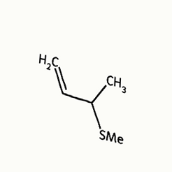 C=CC(C)SC